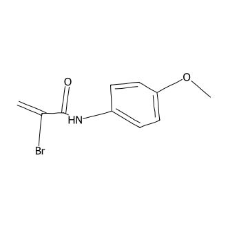 C=C(Br)C(=O)Nc1ccc(OC)cc1